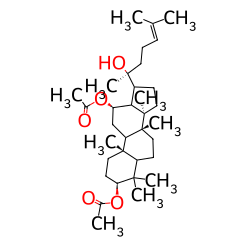 CC(=O)O[C@H]1CC[C@@]2(C)C(CC[C@]3(C)C2C[C@@H](OC(C)=O)C2C([C@@](C)(O)CCC=C(C)C)CC[C@]23C)C1(C)C